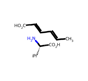 C/C=C/C=C/C(=O)O.CC(C)[C@H](N)C(=O)O